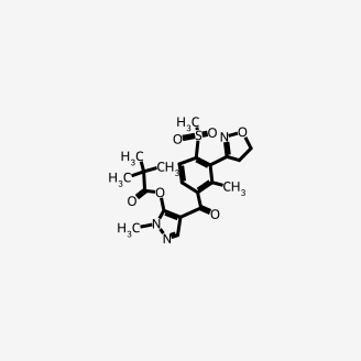 Cc1c(C(=O)c2cnn(C)c2OC(=O)C(C)(C)C)ccc(S(C)(=O)=O)c1C1=NOCC1